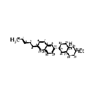 C/C=C/CCc1ccc2cc([C@@H]3CC[C@@H]4CC(CC)CCC4C3)ccc2c1